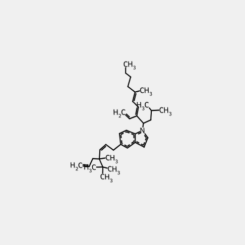 C=CCC(C)(/C=C\Cc1ccc2c(ccn2C(CC(C)C)/C(C=C)=C/C=C(\C)CCCC)c1)C(C)(C)C